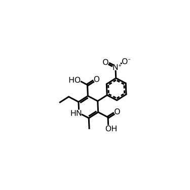 CCC1=C(C(=O)O)C(c2cccc([N+](=O)[O-])c2)C(C(=O)O)=C(C)N1